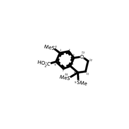 CSc1cc2c(cc1C(=O)O)C(SC)(SC)CCO2